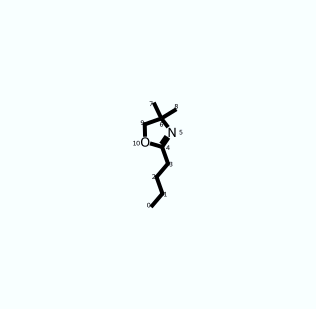 CCCCC1=NC(C)(C)CO1